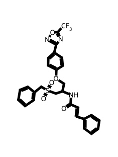 O=C(/C=C/c1ccccc1)NC(COc1ccc(-c2noc(C(F)(F)F)n2)cc1)CS(=O)(=O)Cc1ccccc1